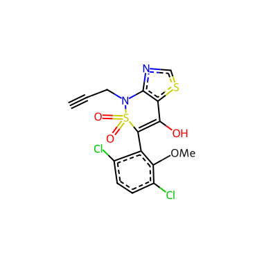 C#CCN1c2ncsc2C(O)=C(c2c(Cl)ccc(Cl)c2OC)S1(=O)=O